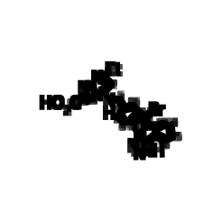 CCc1cc(NCc2ccc3oc(-c4ccccc4-c4nnn[nH]4)c(Br)c3c2)n2cc(C(=O)O)nc2n1